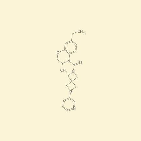 CCc1ccc2c(c1)OCC(C)N2C(=O)N1CC2(C1)CN(c1cccnc1)C2